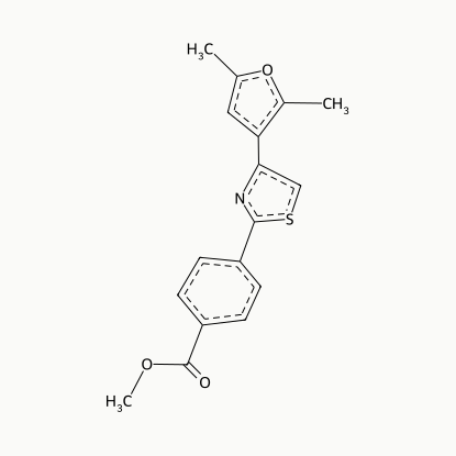 COC(=O)c1ccc(-c2nc(-c3cc(C)oc3C)cs2)cc1